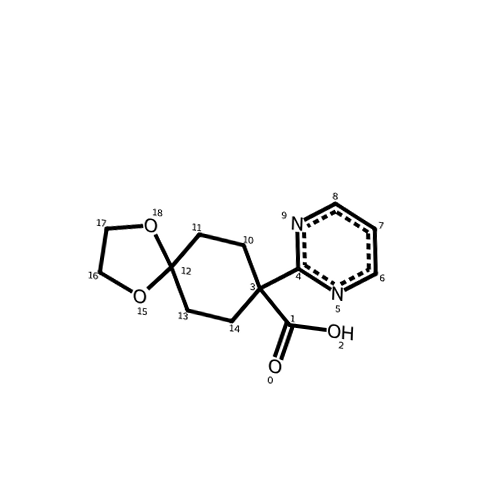 O=C(O)C1(c2ncccn2)CCC2(CC1)OCCO2